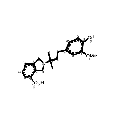 COc1cc(CCC(C)(C)N2Cc3cccc(C(=O)O)c3C2)ccc1O